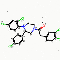 O=C(Cc1ccc(Cl)c(Cl)c1)N1CCN(c2ccc(Cl)cc2Cl)C(c2ccc(Cl)cc2)C1